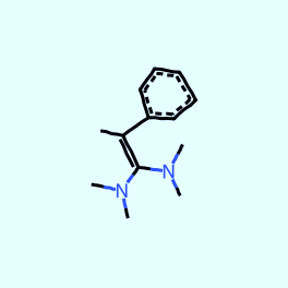 CC(=C(N(C)C)N(C)C)c1ccccc1